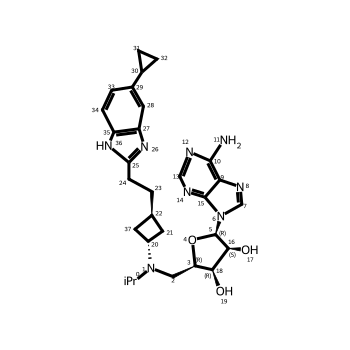 CC(C)N(C[C@H]1O[C@@H](n2cnc3c(N)ncnc32)[C@@H](O)[C@H]1O)[C@H]1C[C@H](CCc2nc3cc(C4CC4)ccc3[nH]2)C1